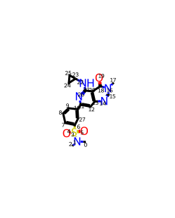 CN(C)S(=O)(=O)c1cccc(-c2cc3ncn(C)c(=O)c3c(NC3CC3)n2)c1